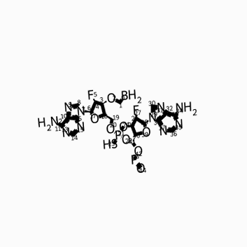 BCO[C@H]1[C@@H](F)[C@H](n2cnc3c(N)ncnc32)O[C@@H]1COP(=O)(S)O[C@H]1[C@@H](F)[C@H](n2cnc3c(N)ncnc32)O[C@@H]1COP=O